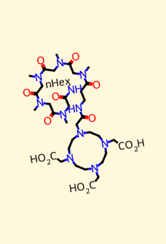 CCCCCCNC(=O)CN(C)C(=O)CN(C)C(=O)CN(C)C(=O)CN(C)C(=O)CN(C)C(=O)CCNC(=O)CN1CCN(CC(=O)O)CCN(CC(=O)O)CCN(CC(=O)O)CC1